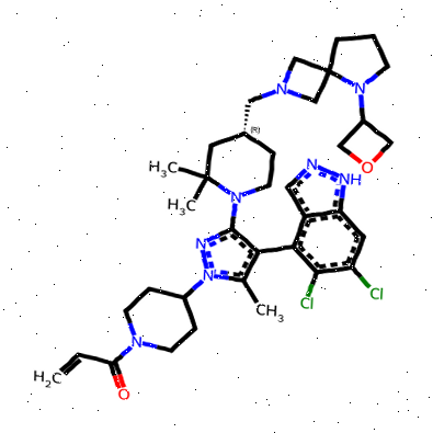 C=CC(=O)N1CCC(n2nc(N3CC[C@@H](CN4CC5(CCCN5C5COC5)C4)CC3(C)C)c(-c3c(Cl)c(Cl)cc4[nH]ncc34)c2C)CC1